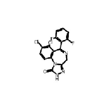 O=c1[nH]nc2n1-c1ccc(Cl)c(Cl)c1C(c1c(F)cccc1F)=NC2